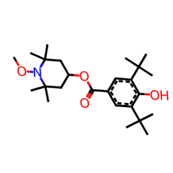 CON1C(C)(C)CC(OC(=O)c2cc(C(C)(C)C)c(O)c(C(C)(C)C)c2)CC1(C)C